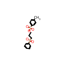 Cc1ccc(S(=O)(=O)OCCCS(=O)(=O)c2ccccc2)cc1